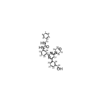 O=C(NCc1ccccc1)Nc1cccc(-c2nc(-c3cccc(CO)c3)cc(N3CCOCC3)n2)c1